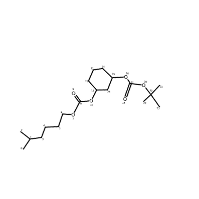 CC(C)CCCCOC(=O)OC1CCCC(OC(=O)OC(C)(C)C)C1